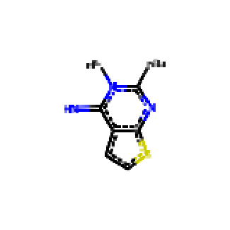 CCCCc1nc2sccc2c(=N)n1CCC